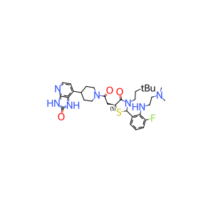 CN(C)CCNc1c(F)cccc1C1S[C@@H](CC(=O)N2CCC(c3ccnc4[nH]c(=O)[nH]c34)CC2)C(=O)N1CCC(C)(C)C